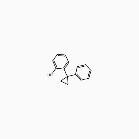 Oc1ccccc1C1(c2ccccc2)CC1